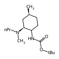 CCCN(C)[C@H]1C[C@@H](C)CCC1NC(=O)OC(C)(C)C